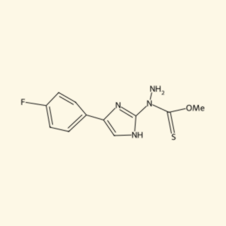 COC(=S)N(N)c1nc(-c2ccc(F)cc2)c[nH]1